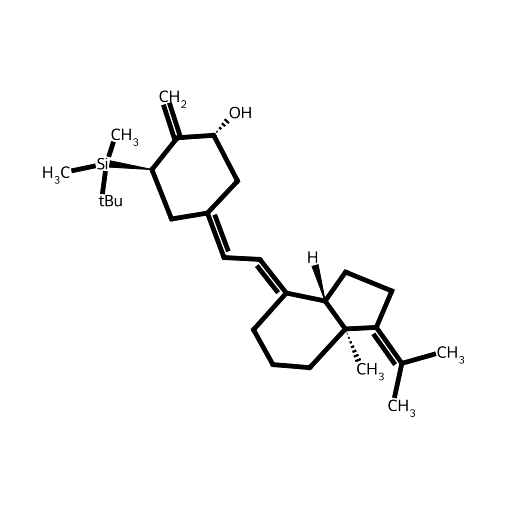 C=C1[C@H](O)C/C(=C\C=C2/CCC[C@]3(C)C(=C(C)C)CC[C@@H]23)C[C@H]1[Si](C)(C)C(C)(C)C